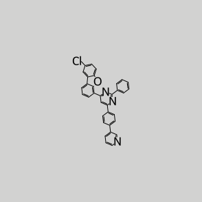 Clc1ccc2oc3c(-c4cc(-c5ccc(-c6cccnc6)cc5)nc(-c5ccccc5)n4)cccc3c2c1